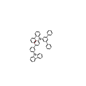 c1ccc(-c2cc(-c3ccccc3)cc(N(c3ccc(-c4cccc(-n5c6ccccc6c6ccccc65)c4)cc3)c3ccccc3-c3ccccc3)c2)cc1